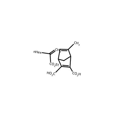 C=C(CCCCCC)C(=O)OCC.CC1=CC2CC1C(C(=O)O)=C2C(=O)O